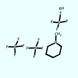 CN1CCCCC1.F[B-](F)(F)F.F[B-](F)(F)F.F[B-](F)(F)F.[KH]